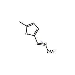 CO/N=C/c1ccc(C)o1